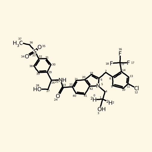 [2H]C([2H])(O)Cn1c(Cc2ccc(Cl)cc2C(F)(F)F)cc2cc(C(=O)NC(CO)c3ccc(S(=O)(=O)CC)cc3)ccc21